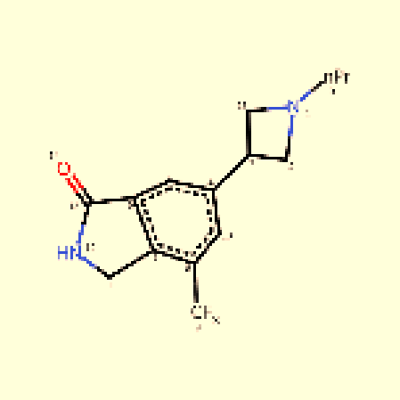 CCCN1CC(c2cc3c(c(C(F)(F)F)c2)CNC3=O)C1